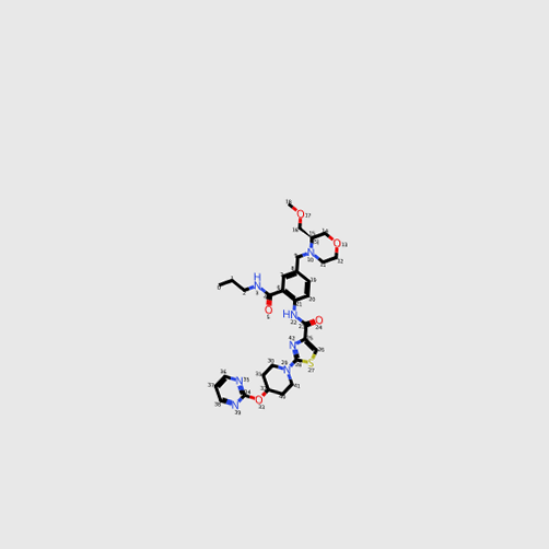 CCCNC(=O)c1cc(CN2CCOC[C@@H]2COC)ccc1NC(=O)c1csc(N2CCC(Oc3ncccn3)CC2)n1